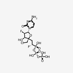 Nc1ccn([C@@H]2O[C@](CCl)(C[C@@H](F)P(=O)(O)OP(=O)(O)OP(=O)(O)O)[C@@H](O)[C@H]2F)c(=O)n1